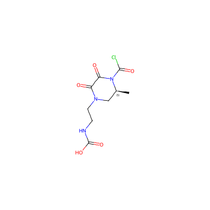 C[C@H]1CN(CCNC(=O)O)C(=O)C(=O)N1C(=O)Cl